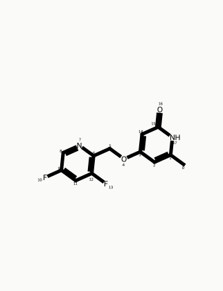 Cc1cc(OCc2ncc(F)cc2F)cc(=O)[nH]1